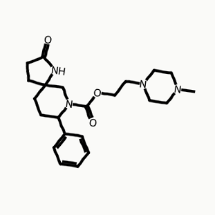 CN1CCN(CCOC(=O)N2CC3(CCC(=O)N3)CCC2c2ccccc2)CC1